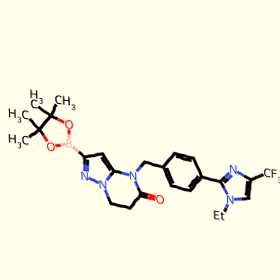 CCn1cc(C(F)(F)F)nc1-c1ccc(CN2C(=O)CCn3nc(B4OC(C)(C)C(C)(C)O4)cc32)cc1